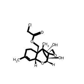 CC1=C[C@H]2O[C@@H]3[C@H](O)[C@@H](O)[C@](C)([C@@]2(COC(=O)CCl)CC1)[C@]31CO1